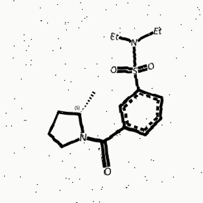 CCN(CC)S(=O)(=O)c1cccc(C(=O)N2CCC[C@@H]2C)c1